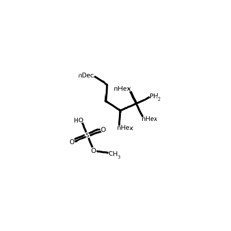 CCCCCCCCCCCCC(CCCCCC)C(P)(CCCCCC)CCCCCC.COS(=O)(=O)O